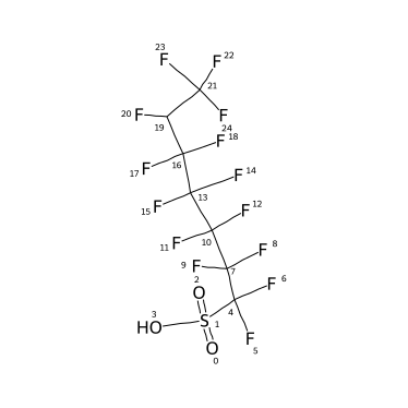 O=S(=O)(O)C(F)(F)C(F)(F)C(F)(F)C(F)(F)C(F)(F)C(F)C(F)(F)F